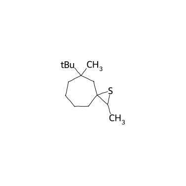 CC1SC12CCCCC(C)(C(C)(C)C)C2